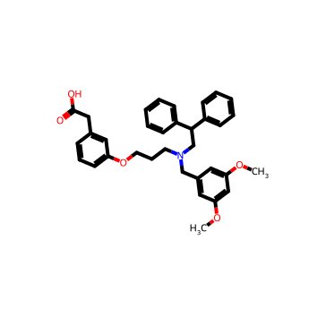 COc1cc(CN(CCCOc2cccc(CC(=O)O)c2)CC(c2ccccc2)c2ccccc2)cc(OC)c1